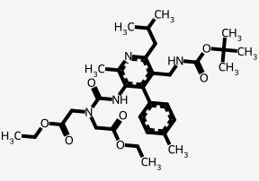 CCOC(=O)CN(CC(=O)OCC)C(=O)Nc1c(C)nc(CC(C)C)c(CNC(=O)OC(C)(C)C)c1-c1ccc(C)cc1